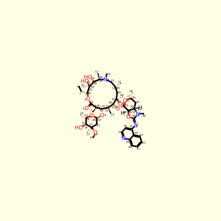 CC[C@H]1OC(=O)[C@H](C)[C@@H](O[C@H]2C[C@@](C)(OC)[C@@H](O)[C@H](C)O2)[C@H](C)[C@@H](O[C@@H]2O[C@H](C)C[C@H]3[C@H]2OC(=Nc2ccnc4ccccc24)N3C)[C@](C)(O)C[C@@H](C)CN(C)[C@H](C)[C@@H](O)[C@]1(C)O